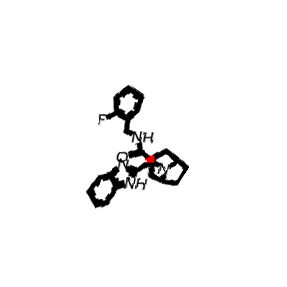 O=C(NCc1ccccc1F)C1CC2CCC(C1)N2Cc1nc2ccccc2[nH]1